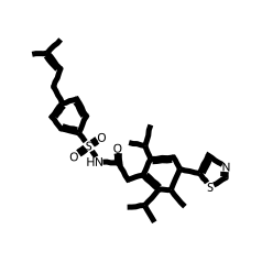 CC(C)=CCc1ccc(S(=O)(=O)NC(=O)CC2=C(C(C)C)C(C)C(c3cncs3)C=C2C(C)C)cc1